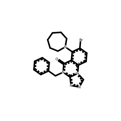 O=c1c2c(N3CCCCCC3)c(Br)ccc2n2cnnc2n1Cc1ccccc1